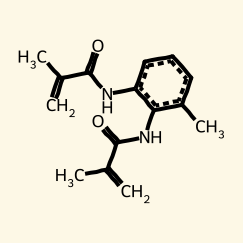 C=C(C)C(=O)Nc1cccc(C)c1NC(=O)C(=C)C